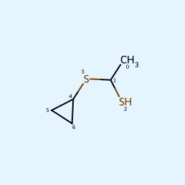 CC(S)SC1CC1